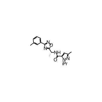 Cc1cccc(-c2noc([C@@H](C)NC(=O)c3cc(C)nn3C(C)C)n2)c1